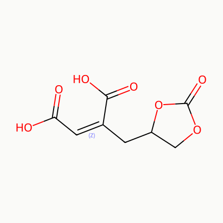 O=C(O)/C=C(/CC1COC(=O)O1)C(=O)O